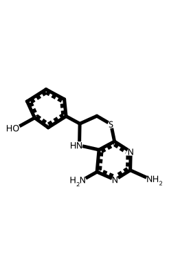 Nc1nc(N)c2c(n1)SCC(c1cccc(O)c1)N2